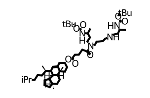 CC(C)CCC[C@@H](C)C1C=C2C[C@@H](OC(=O)CCCC(=O)N(CCCCNCCC(C)NC(=O)OC(C)(C)C)CCC(C)NC(=O)OC(C)(C)C)CC[C@]2(C)[C@H]2CC[C@@]3(C)CCC[C@H]3[C@H]12